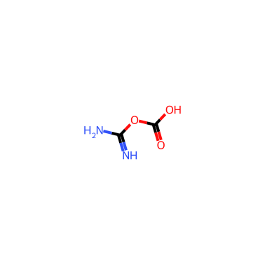 N=C(N)OC(=O)O